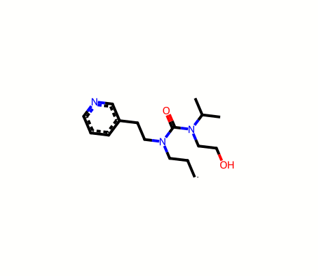 [CH2]CCN(CCc1cccnc1)C(=O)N(CCO)C(C)C